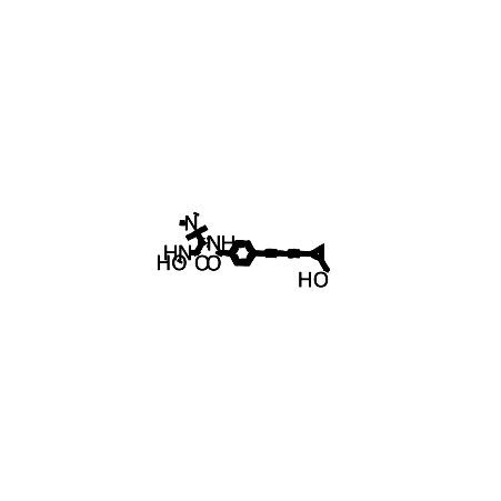 CN(C)C(C)(C)[C@H](NC(=O)c1ccc(C#CC#CC2CC2CO)cc1)C(=O)NO